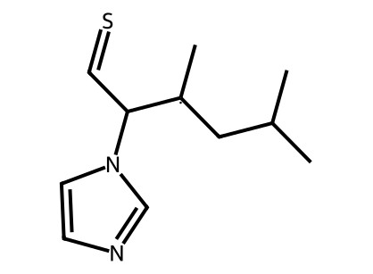 C[C](CC(C)C)C(C=S)n1ccnc1